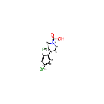 O=C(O)N1CCC(c2ccc(Br)cc2)[C@@H](F)C1